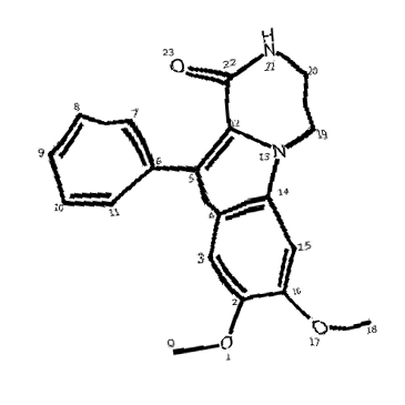 COc1cc2c(-c3ccccc3)c3n(c2cc1OC)CCNC3=O